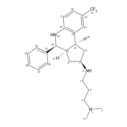 CN(C)CCCN[C@H]1C[C@@H]2[C@H](C1)c1cc(C(F)(F)F)ccc1N[C@@H]2c1ccccc1